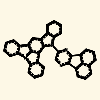 c1cc2c3c(cccc3c1)-c1nc(-n3c4ccccc4c4cc5c6ccccc6n6c7ccccc7c(c43)c56)cnc1-2